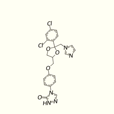 O=c1[nH]ncn1-c1ccc(OCC2COC(Cn3ccnc3)(c3ccc(Cl)cc3Cl)O2)cc1